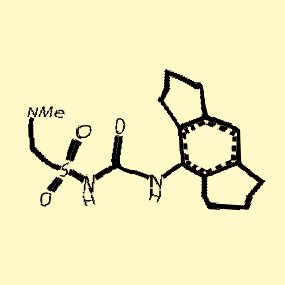 CNCS(=O)(=O)NC(=O)Nc1c2c(cc3c1CCC3)CCC2